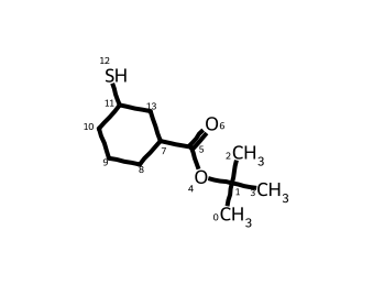 CC(C)(C)OC(=O)C1CCCC(S)C1